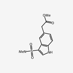 CNS(=O)(=O)c1c[nH]c2ccc(CC(=O)OC)cc12